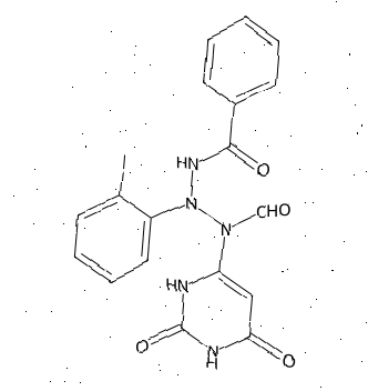 Cc1ccccc1N(NC(=O)c1ccccc1)N(C=O)c1cc(=O)[nH]c(=O)[nH]1